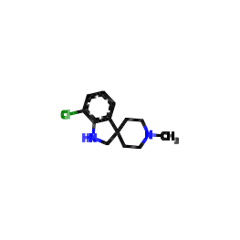 CN1CCC2(CC1)CNc1c(Cl)cccc12